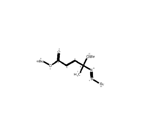 CCCCOC(=O)CCC(C)(/N=N/C(C)(C)C)OC